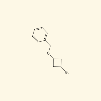 CCC1CC(OCc2ccccc2)C1